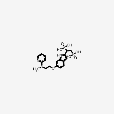 CN(CCOc1ccc2cc(C(CP(=O)(O)O)P(=O)(O)O)[nH]c2c1)c1ccccn1